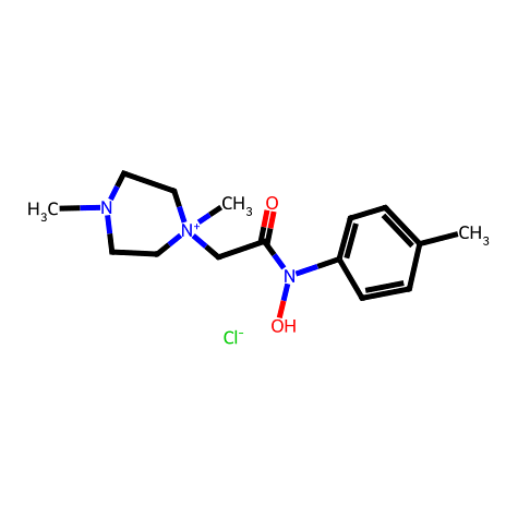 Cc1ccc(N(O)C(=O)C[N+]2(C)CCN(C)CC2)cc1.[Cl-]